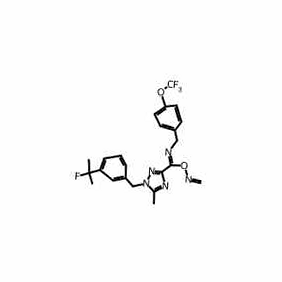 C=NO/C(=N\Cc1ccc(OC(F)(F)F)cc1)c1nc(C)n(Cc2cccc(C(C)(C)F)c2)n1